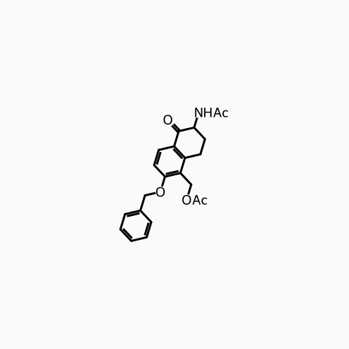 CC(=O)NC1CCc2c(ccc(OCc3ccccc3)c2COC(C)=O)C1=O